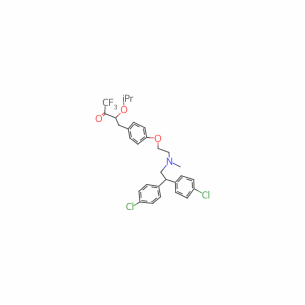 CC(C)OC(Cc1ccc(OCCN(C)CC(c2ccc(Cl)cc2)c2ccc(Cl)cc2)cc1)C(=O)C(F)(F)F